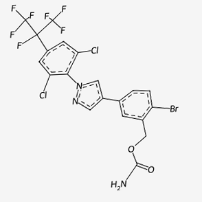 NC(=O)OCc1cc(-c2cnn(-c3c(Cl)cc(C(F)(C(F)(F)F)C(F)(F)F)cc3Cl)c2)ccc1Br